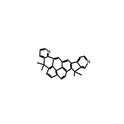 CC1(C)c2cnccc2-c2cc3cc4c5c(ccc6ccc(c21)c3c65)C(C)(C)c1cccnc1-4